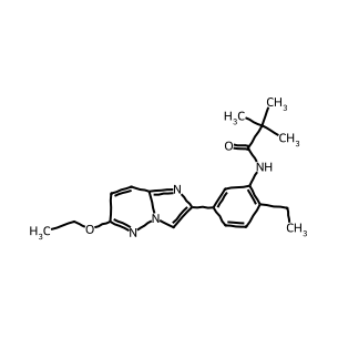 CCOc1ccc2nc(-c3ccc(CC)c(NC(=O)C(C)(C)C)c3)cn2n1